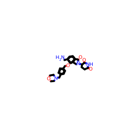 NCc1ccc2c(c1OCc1ccc(CN3CCOCC3)cc1)CN(C1CCC(=O)NC1=O)C2=O